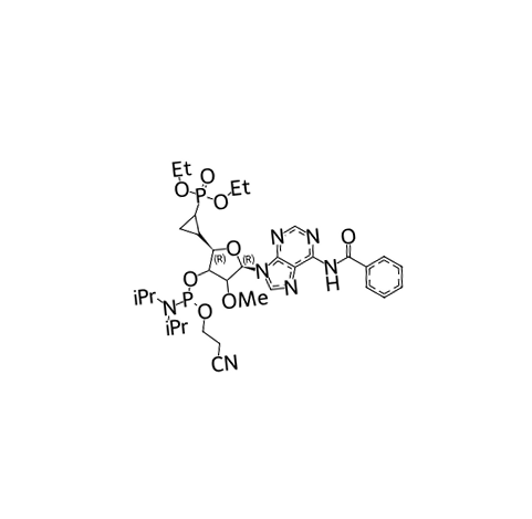 CCOP(=O)(OCC)C1CC1[C@H]1O[C@@H](n2cnc3c(NC(=O)c4ccccc4)ncnc32)C(OC)C1OP(OCCC#N)N(C(C)C)C(C)C